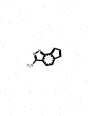 NC1=NN=c2c1ccc1c2=CC=C1